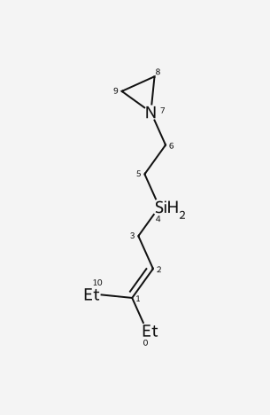 CCC(=CC[SiH2]CCN1CC1)CC